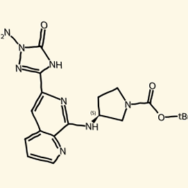 CC(C)(C)OC(=O)N1CC[C@H](Nc2nc(-c3nn(N)c(=O)[nH]3)cc3cccnc23)C1